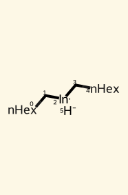 CCCCCC[CH2][In][CH2]CCCCCC.[H-]